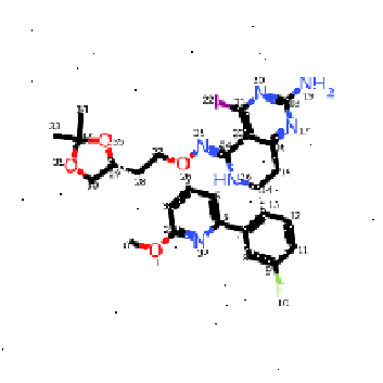 COc1cccc(-c2cc(F)ccc2[C@H]2Cc3nc(N)nc(I)c3/C(=N/OCC[C@H]3COC(C)(C)O3)N2)n1